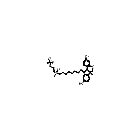 CC1(c2ccc(O)cc2)COc2cc(O)ccc2C1CCCCCCCCCS(=O)(=O)CCCC(F)(F)C(F)(F)F